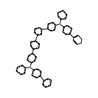 C1=CC(c2ccc(N(c3ccccc3)c3ccc(-c4cccc(-c5ccc(-c6ccc(N(c7ccccc7)c7ccc(-c8ccccc8)cc7)cc6)cc5)c4)cc3)cc2)=CCC1